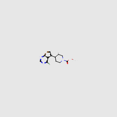 CCCCOC(=O)N1CCC(c2csc3ncnc(Cl)c23)CC1